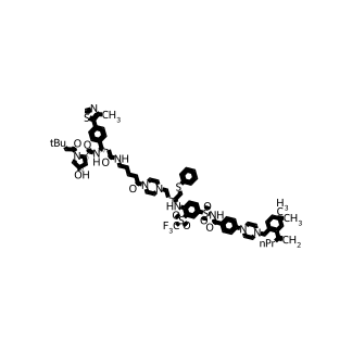 C=C(CCC)C1=C(CN2CCN(c3ccc(C(=O)NS(=O)(=O)c4ccc(N[C@H](CCN5CCN(C(=O)CCCCNC(=O)C[C@H](NC(=O)[C@@H]6C[C@@H](O)CN6C(=O)CC(C)(C)C)c6ccc(-c7scnc7C)cc6)CC5)CSc5ccccc5)c(S(=O)(=O)C(F)(F)F)c4)cc3)CC2)CCC(C)(C)C1